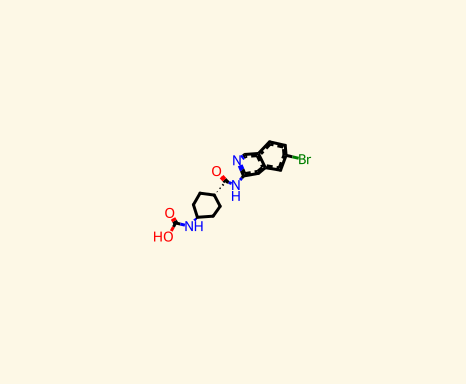 O=C(O)N[C@H]1CC[C@H](C(=O)Nc2cc3cc(Br)ccc3cn2)CC1